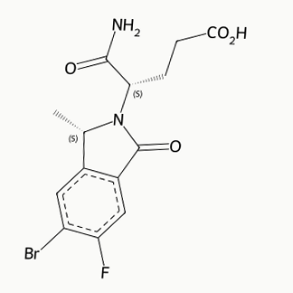 C[C@H]1c2cc(Br)c(F)cc2C(=O)N1[C@@H](CCC(=O)O)C(N)=O